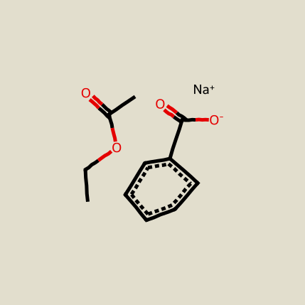 CCOC(C)=O.O=C([O-])c1ccccc1.[Na+]